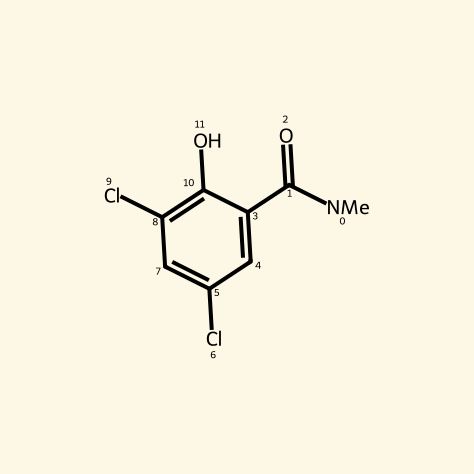 CNC(=O)c1cc(Cl)cc(Cl)c1O